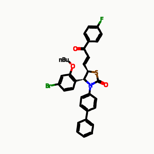 CCCCOc1cc(Br)ccc1[C@@H]1[C@@H](/C=C/C(=O)c2ccc(F)cc2)SC(=O)N1c1ccc(-c2ccccc2)cc1